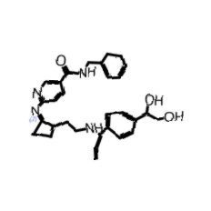 C=C=C(NCCC1CC/C1=N/c1ccc(C(=O)NCC2=CC=CCC2)cn1)c1ccc(C(O)CO)cc1